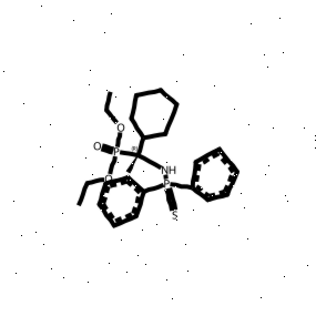 CCOP(=O)(OCC)[C@@](C)(NP(=S)(c1ccccc1)c1ccccc1)C1CCCCC1